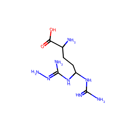 N=C(N)NC(CCC(N)C(=O)O)NC(N)=NN